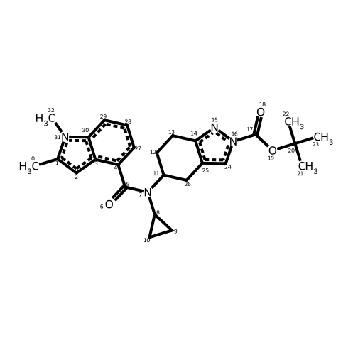 Cc1cc2c(C(=O)N(C3CC3)C3CCc4nn(C(=O)OC(C)(C)C)cc4C3)cccc2n1C